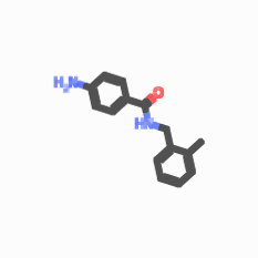 Cc1ccccc1CNC(=O)c1ccc(N)cc1